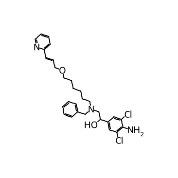 Nc1c(Cl)cc(C(O)CN(CCCCCCOCC=Cc2ccccn2)Cc2ccccc2)cc1Cl